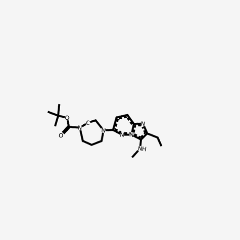 CCc1nc2ccc(N3CCCN(C(=O)OC(C)(C)C)CC3)nn2c1NC